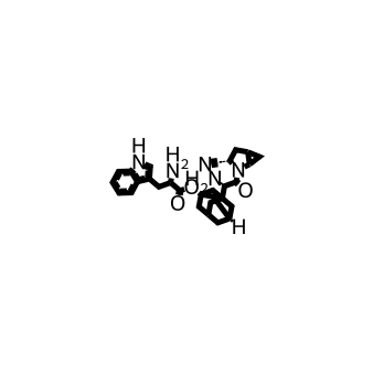 N#C[C@@H]1CC2CC2N1C(=O)[C@@H](N)C12CC3C[C@H](CC(OC(=O)C(N)Cc4c[nH]c5ccccc45)(C3)C1)C2